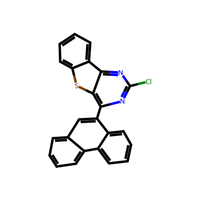 Clc1nc(-c2cc3ccccc3c3ccccc23)c2sc3ccccc3c2n1